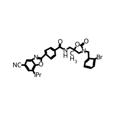 CC(C)c1cc(C#N)cc2nc(-c3ccc(C(=O)NCC4(C)CN(Cc5ccccc5Br)C(=O)O4)cc3)oc12